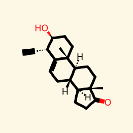 C#C[C@H]1C2=CC[C@@H]3[C@H](CC[C@]4(C)C(=O)CC[C@@H]34)[C@@]2(C)CC[C@@H]1O